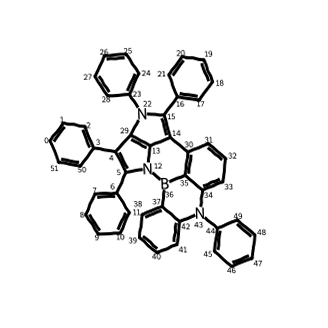 c1ccc(-c2c(-c3ccccc3)n3c4c(c(-c5ccccc5)n(-c5ccccc5)c24)-c2cccc4c2B3c2ccccc2N4c2ccccc2)cc1